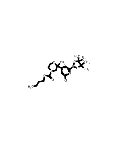 CCCCOC(=O)N1CCOC(C)(c2cc(Cl)nc(B3OC(C)(C)C(C)(C)O3)c2)C1